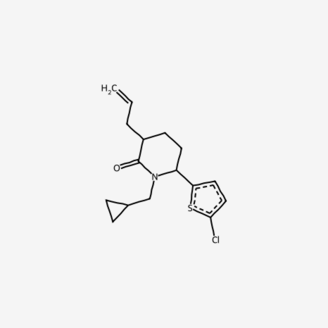 C=CCC1CCC(c2ccc(Cl)s2)N(CC2CC2)C1=O